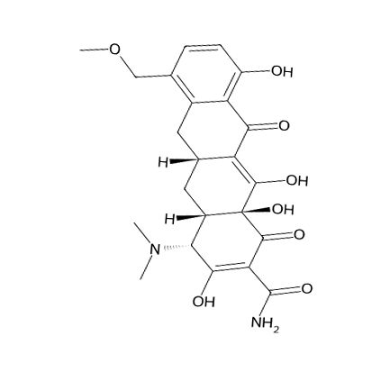 COCc1ccc(O)c2c1C[C@H]1C[C@H]3[C@@H](N(C)C)C(O)=C(C(N)=O)C(=O)[C@@]3(O)C(O)=C1C2=O